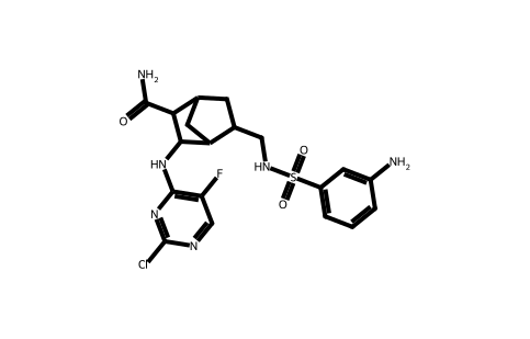 NC(=O)C1C2CC(CNS(=O)(=O)c3cccc(N)c3)C(C2)C1Nc1nc(Cl)ncc1F